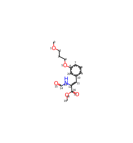 COCCCOc1cccc(C=C(NC=O)C(=O)OC)c1